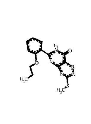 CCCOc1ccccc1-c1nc2nc(SC)nnc2c(=O)[nH]1